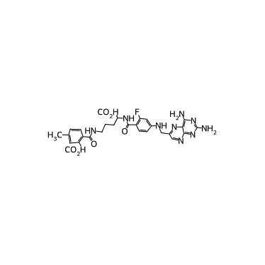 Cc1ccc(C(=O)NCCC[C@H](NC(=O)c2ccc(NCc3cnc4nc(N)nc(N)c4n3)cc2F)C(=O)O)c(C(=O)O)c1